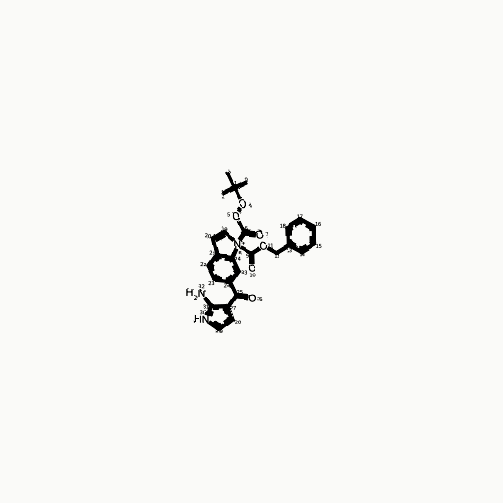 CC(C)(C)OOC(=O)[N+]1(C(=O)OCc2ccccc2)C=Cc2ccc(C(=O)c3cc[nH]c3N)cc21